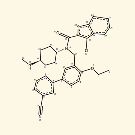 CCOc1ccc(-c2cccc(C#N)c2)cc1CN(C(=O)c1sc2ccccc2c1Cl)[C@H]1CC[C@H](NC)CC1